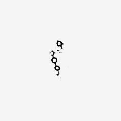 Cc1cc(CC(=O)O)ccc1-c1ccc(-c2snc(C)c2NC(=O)O[C@H](C)c2ccccc2Cl)cc1